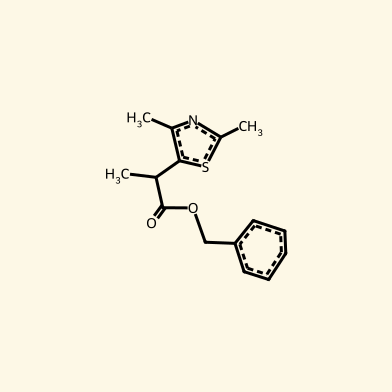 Cc1nc(C)c(C(C)C(=O)OCc2ccccc2)s1